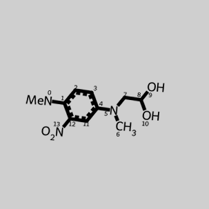 CNc1ccc(N(C)CC(O)O)cc1[N+](=O)[O-]